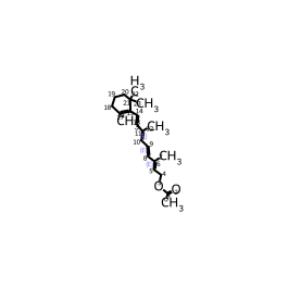 CC(=O)OC/C=C(C)/C=C/C=C(\C)C=CC1=C(C)CCCC1(C)C